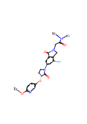 CCOc1ccc(O[C@@H]2CCN(c3cc(F)c4c(c3)C(=O)N(CC(=O)N(CC)CC)C4)C2=O)cn1